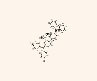 CCCCC1(CCCC)c2cc(N(c3ccc(C)cc3)c3ccc(C)cc3)ccc2-c2ccc(-n3c4ccccc4c4ccccc43)cc21